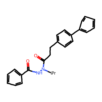 CC(C)N(NC(=O)c1ccccc1)C(=O)CCc1ccc(-c2ccccc2)cc1